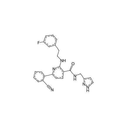 N#Cc1ccccc1-c1ccc(C(=O)NCc2cc[nH]n2)c(NCCc2cccc(F)c2)n1